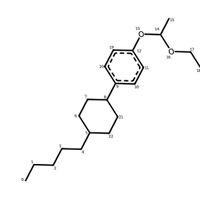 CCCCCC1CCC(c2ccc(OC(C)OCC)cc2)CC1